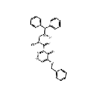 CC(C)N(C[C@H](S)C(c1ccccc1)c1ccccc1)C(=O)c1n[nH]cc(OCc2ccccc2)c1=O